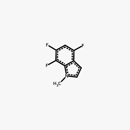 Cn1ccc2c(F)cc(F)c(F)c21